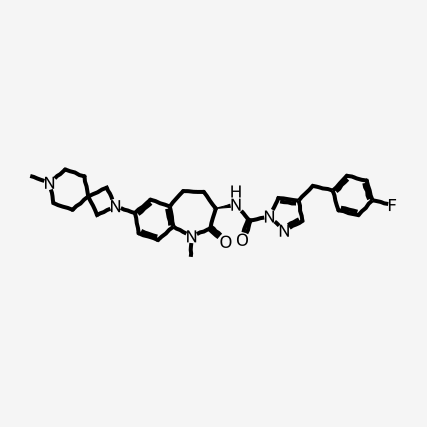 CN1CCC2(CC1)CN(c1ccc3c(c1)CC[C@@H](NC(=O)n1cc(Cc4ccc(F)cc4)cn1)C(=O)N3C)C2